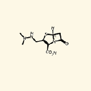 CN(C)NCC1=C(C(=O)O)N2C(=O)C[C@H]2S1